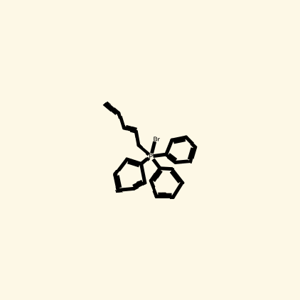 C=C/C=C/CP(Br)(c1ccccc1)(c1ccccc1)c1ccccc1